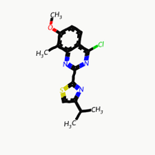 COc1ccc2c(Cl)nc(-c3nc(C(C)C)cs3)nc2c1C